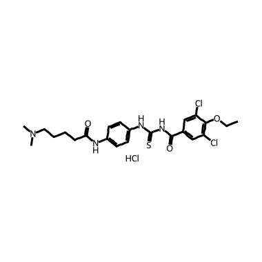 CCOc1c(Cl)cc(C(=O)NC(=S)Nc2ccc(NC(=O)CCCCN(C)C)cc2)cc1Cl.Cl